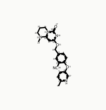 Cc1ccc(Oc2ccc(COc3cc4n(c(=O)n3)CCCN4C)cc2C#N)cn1